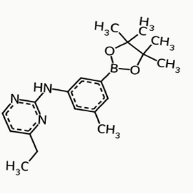 CCc1ccnc(Nc2cc(C)cc(B3OC(C)(C)C(C)(C)O3)c2)n1